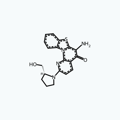 Nc1c(=O)c2ccc(N3CCC[C@@H]3CO)nc2n2c1sc1ccccc12